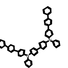 C1=C(c2ccccc2)CCC(c2ccc(N(c3ccccc3)c3ccc(-c4ccc(N(c5ccccc5)c5ccc(-c6ccc(-c7ccccc7)cc6)cc5)cc4)cc3)cc2)=C1